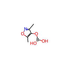 Cc1noc(C)c1OB(O)O